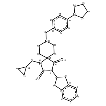 O=C1N(C2Cc3ccccc3C2)C(=O)C2(CCN(Cc3ccc(N4CCCC4)cc3)CC2)N1CC1CC1